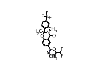 C/N=C(\OC(=N)C(F)F)c1ccc2c(c1)C(=O)N(C)C(C)(c1ccc(C(F)(F)F)cc1)O2